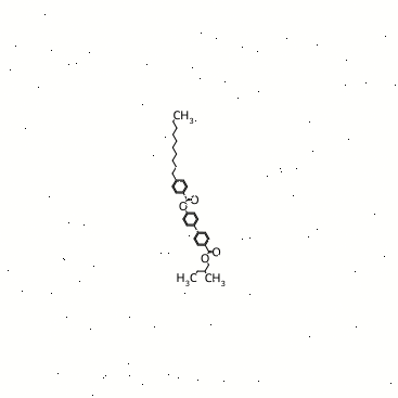 CCCCCCCCCCc1ccc(C(=O)Oc2ccc(-c3ccc(C(=O)OCC(C)CC)cc3)cc2)cc1